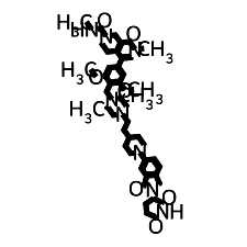 CNC(=O)N1CCc2c(-c3cc(OC)c(CN4[C@H](C)CN(CCC5CCN(c6ccc7c(c6)C(=O)N(C6CCC(=O)NC6=O)C7)CC5)C[C@H]4C)c(OC)c3)cn(C)c(=O)c2C1